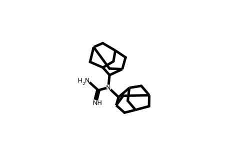 N=C(N)N(C1C2CC3CC(C2)CC1C3)C1C2CC3CC(C2)CC1C3